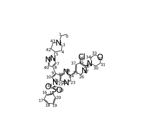 CCN1CCC(n2cc(-c3cn(S(=O)(=O)c4ccccc4)c4ncc(-c5cnc(N6CCOCC6)c(Cl)c5)nc34)cn2)CC1